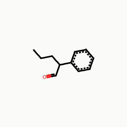 CCCC(C=O)c1c[c]ccc1